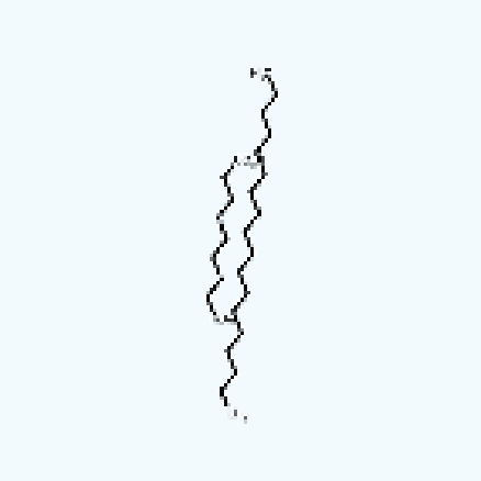 CCCCCCCCCCCCCCCCCC.CCCCCCCCCCCCCCCCCC(=O)O